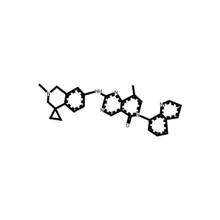 Cc1cn(-c2cccc3cccnc23)c(=O)c2cnc(Nc3ccc4c(c3)CN(C)CC43CC3)nc12